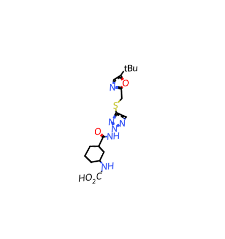 CC(C)(C)c1cnc(CSc2cnn(NC(=O)C3CCCC(NC(=O)O)C3)n2)o1